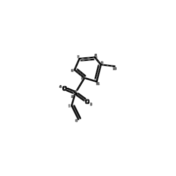 C=CS(=O)(=O)c1cc[c]c(C)c1